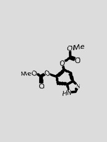 COC(=O)Oc1cc2nc[nH]c2cc1OC(=O)OC